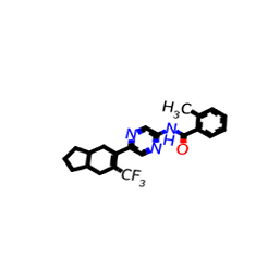 Cc1ccccc1C(=O)Nc1cnc(C2=C(C(F)(F)F)CC3CCCC3C2)cn1